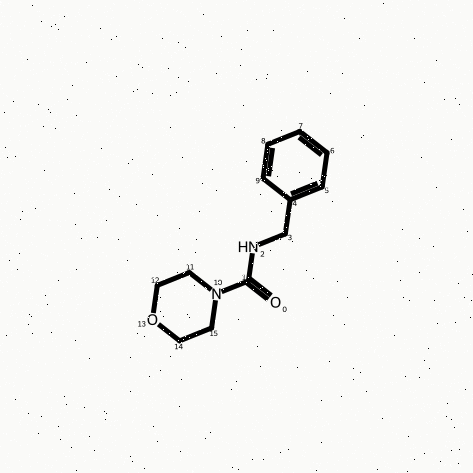 O=C(NCc1cc[c]cc1)N1CCOCC1